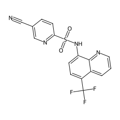 N#Cc1ccc(S(=O)(=O)Nc2ccc(C(F)(F)F)c3cccnc23)nc1